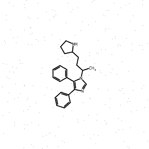 CC(CCC1CCCN1)n1cnc(-c2ccccc2)c1-c1ccccc1